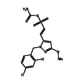 CCCCOc1cc(/C=C/S(=O)(=O)OC(N)=O)n(Cc2ccc(Cl)cc2Cl)n1